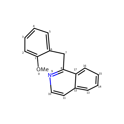 COc1ccccc1Cc1nccc2ccccc12